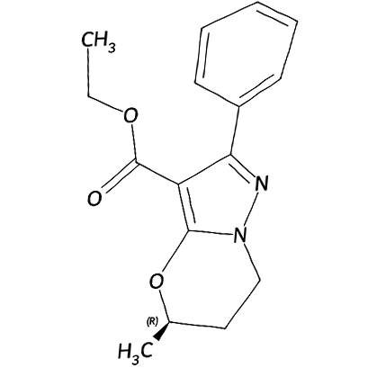 CCOC(=O)c1c(-c2ccccc2)nn2c1O[C@H](C)CC2